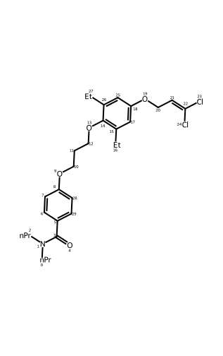 CCCN(CCC)C(=O)c1ccc(OCCCOc2c(CC)cc(OCC=C(Cl)Cl)cc2CC)cc1